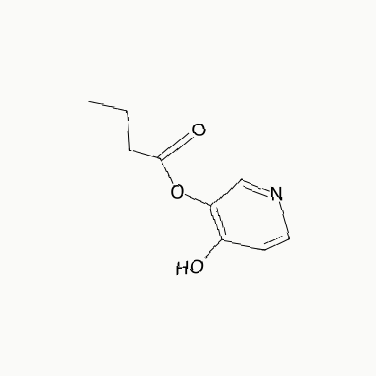 CCCC(=O)Oc1cnccc1O